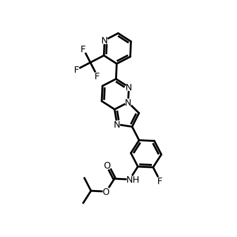 CC(C)OC(=O)Nc1cc(-c2cn3nc(-c4cccnc4C(F)(F)F)ccc3n2)ccc1F